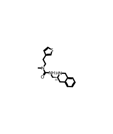 CN(CCc1ccsc1)C(=O)NC[C@@H]1Cc2ccccc2CN1